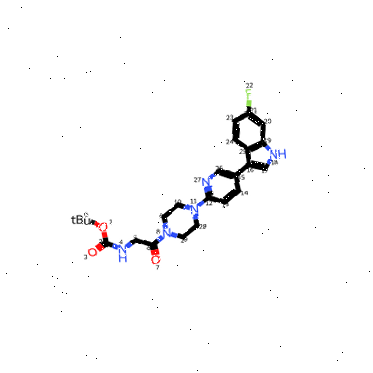 CC(C)(C)OC(=O)NCC(=O)N1CCN(c2ccc(-c3c[nH]c4cc(F)ccc34)cn2)CC1